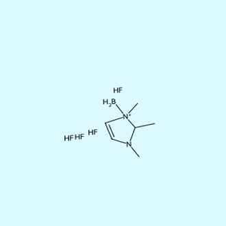 B[N+]1(C)C=CN(C)C1C.F.F.F.F